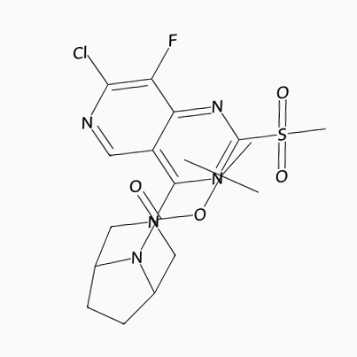 CC(C)(C)OC(=O)N1C2CCC1CN(c1nc(S(C)(=O)=O)nc3c(F)c(Cl)ncc13)C2